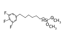 CO[SiH](CCCCCCCc1cc(F)c(F)c(F)c1)OC